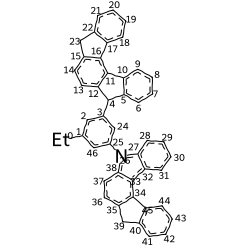 CCc1cc(C2c3ccccc3-c3c2ccc2c3-c3ccccc3C2)cc(-n2c3ccccc3c3c4c(ccc32)Cc2ccccc2-4)c1